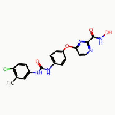 O=C(Nc1ccc(Oc2ccnc(C(=O)NO)n2)cc1)Nc1ccc(Cl)c(C(F)(F)F)c1